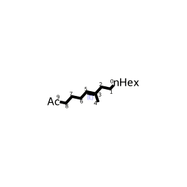 CCCCCCCC/C(C)=C/CCCC(C)=O